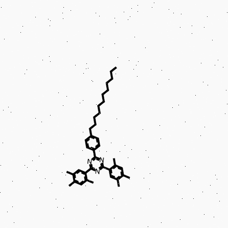 CCCCCCCCCCCCc1ccc(-c2nc(-c3cc(C)c(C)cc3C)nc(-c3cc(C)c(C)cc3C)n2)cc1